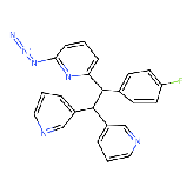 [N-]=[N+]=Nc1cccc(C(c2ccc(F)cc2)C(c2cccnc2)c2cccnc2)n1